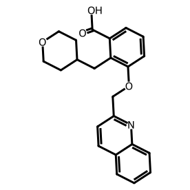 O=C(O)c1cccc(OCc2ccc3ccccc3n2)c1CC1CCOCC1